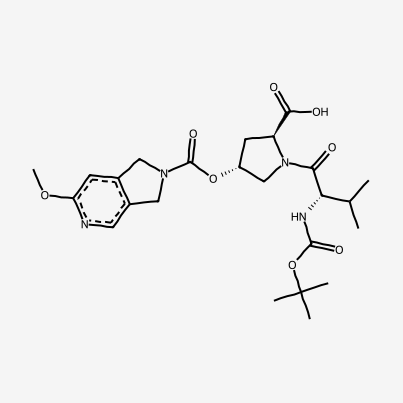 COc1cc2c(cn1)CN(C(=O)O[C@@H]1C[C@@H](C(=O)O)N(C(=O)[C@@H](NC(=O)OC(C)(C)C)C(C)C)C1)C2